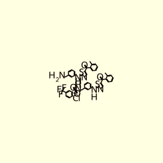 Cc1ccccc1C(=O)c1cnc(Nc2cccc(CN)c2)s1.Cc1ccccc1C(=O)c1cnc(Nc2cccc(CNS(=O)(=O)c3cc(C(F)(F)F)ccc3Cl)c2)s1